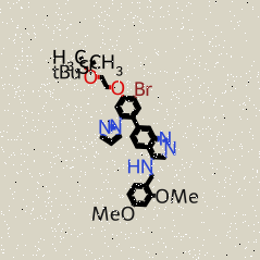 COc1ccc(CNc2cnnc3cc(-c4cc(Br)c(OCCO[Si](C)(C)C(C)(C)C)cc4-n4cccn4)ccc23)c(OC)c1